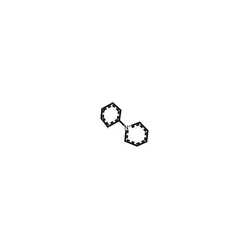 [c]1ccccc1-[n+]1ccccc1